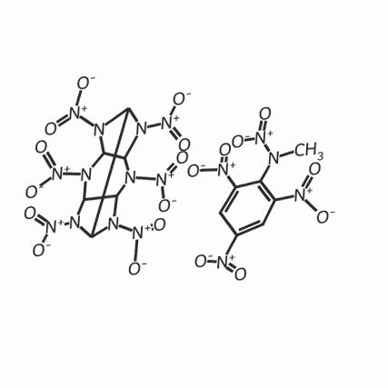 CN(c1c([N+](=O)[O-])cc([N+](=O)[O-])cc1[N+](=O)[O-])[N+](=O)[O-].O=[N+]([O-])N1C2C3N([N+](=O)[O-])C1C1N([N+](=O)[O-])C(C(N1[N+](=O)[O-])N3[N+](=O)[O-])N2[N+](=O)[O-]